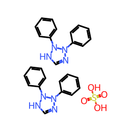 C1=NN(c2ccccc2)N(c2ccccc2)N1.C1=NN(c2ccccc2)N(c2ccccc2)N1.O=S(=O)(O)O